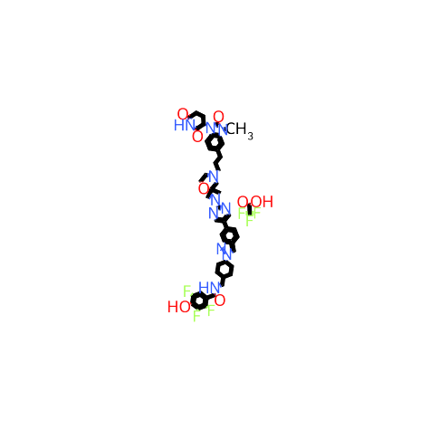 Cn1c(=O)n([C@@H]2CCC(=O)NC2=O)c2ccc(CCCN3CCOC4(C3)CN(c3ncc(-c5ccc6cn(C7CCC(CNC(=O)c8cc(F)c(O)c(F)c8F)CC7)nc6c5)cn3)C4)cc21.O=C(O)C(F)(F)F